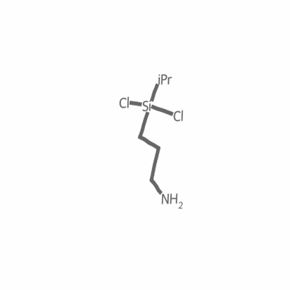 CC(C)[Si](Cl)(Cl)CCCN